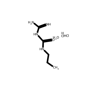 CCCNC(=O)NC(=N)N.Cl.Cl.O